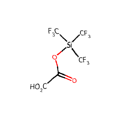 O=C(O)C(=O)O[Si](C(F)(F)F)(C(F)(F)F)C(F)(F)F